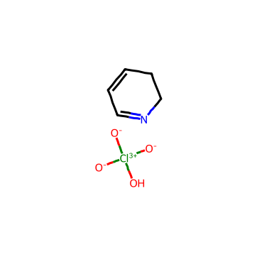 C1=CCCN=C1.[O-][Cl+3]([O-])([O-])O